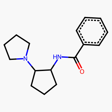 O=C(NC1CCCC1N1CCCC1)c1ccccc1